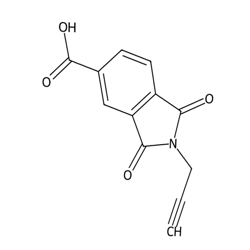 C#CCN1C(=O)c2ccc(C(=O)O)cc2C1=O